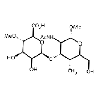 CO[C@@H]1OC(CO)[C@H](C)[C@H](O[C@@H]2OC(C(=O)O)[C@@H](OC)[C@H](O)C2O)C1NC(C)=O